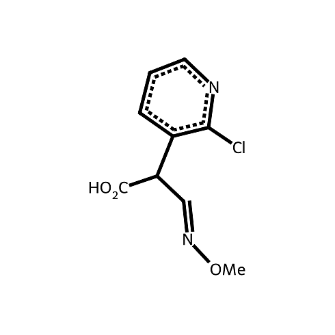 CON=CC(C(=O)O)c1cccnc1Cl